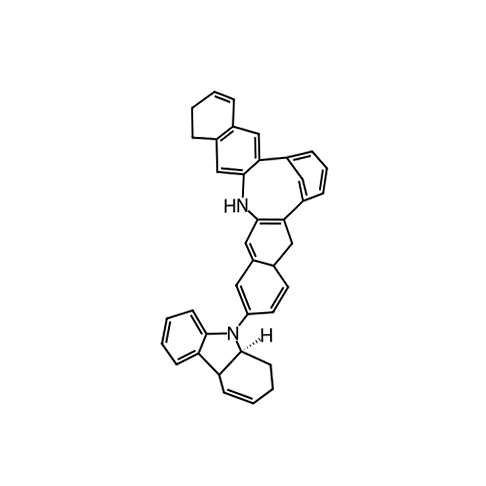 C1=Cc2cc3c(cc2CC1)NC1=C(CC2C=CC(N4c5ccccc5C5C=CCC[C@@H]54)=CC2=C1)c1cccc-3c1